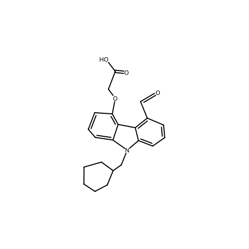 O=Cc1cccc2c1c1c(OCC(=O)O)cccc1n2CC1CCCCC1